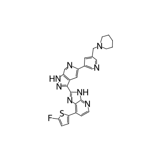 Fc1ccc(-c2ccnc3[nH]c(-c4n[nH]c5cnc(-c6cncc(CN7CCCCC7)c6)cc45)nc23)s1